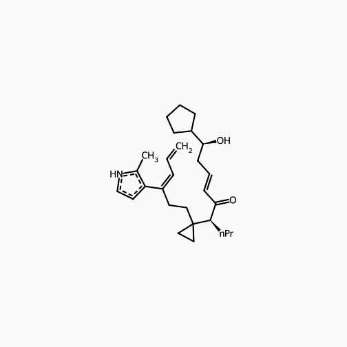 C=C/C=C(/CCC1([C@H](CCC)C(=O)/C=C/C[C@H](O)C2CCCC2)CC1)c1cc[nH]c1C